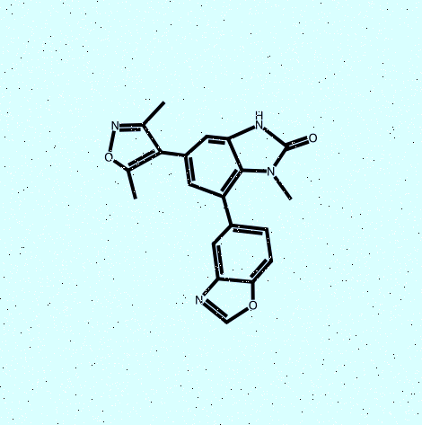 Cc1noc(C)c1-c1cc(-c2ccc3ocnc3c2)c2c(c1)[nH]c(=O)n2C